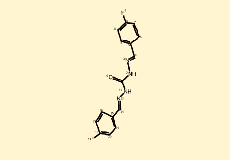 O=C(N/N=C/c1ccc(F)cc1)N/N=C/c1ccc(F)cc1